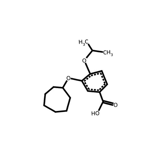 CC(C)Oc1ccc(C(=O)O)cc1OC1CCCCCC1